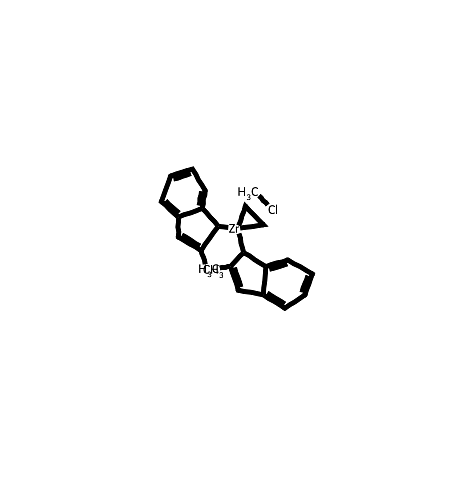 CC1=Cc2ccccc2[CH]1[Zr]1([CH]2C(C)=Cc3ccccc32)[CH2][CH2]1.CCl